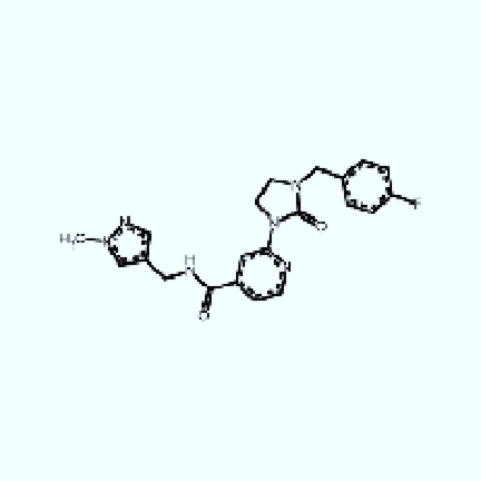 Cn1cc(CNC(=O)c2ccnc(N3CCN(Cc4ccc(F)cc4)C3=O)c2)cn1